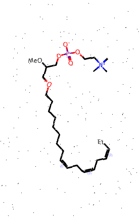 CC/C=C\C/C=C\C/C=C\CCCCCCCCOCC(COP(=O)([O-])OCC[N+](C)(C)C)OC